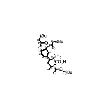 CCC(C)COC(=O)OC(C)CC(c1ccc(OC(=O)CC(C)(C)C)c(OC(=O)CC(C)(C)C)c1)[C@H](N)C(=O)O